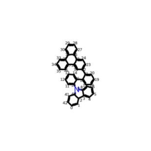 C1=CC2c3ccccc3N(c3ccccc3-c3ccccc3-c3ccc4c5ccccc5c5ccccc5c4c3)C2C=C1